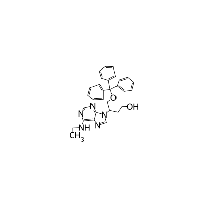 CCNc1ncnc2c1ncn2C(CCO)COC(c1ccccc1)(c1ccccc1)c1ccccc1